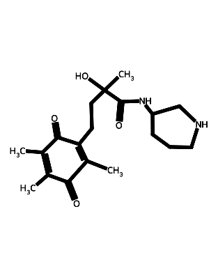 CC1=C(C)C(=O)C(CCC(C)(O)C(=O)NC2CCCNC2)=C(C)C1=O